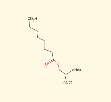 CCCCCCCCC(CCCCCC)COC(=O)CCCCCCC(=O)O